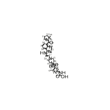 Cc1nc(NC(=O)O)sc1S(=O)(=O)N1CCN(C[C@H](C)Nc2ncnc3c(C(=O)N4CCCC4(C)C)cccc23)CC1